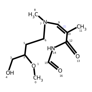 COC(CO)CCN(C)/C=C(/C)C(=O)NC=O